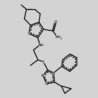 CC1CCc2c(sc(NCC(C)Sc3nnc(C4CC4)n3-c3ccccc3)c2C(N)=O)C1